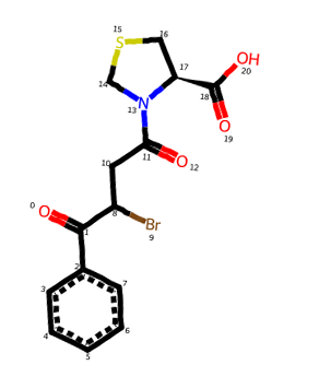 O=C(c1ccccc1)C(Br)CC(=O)N1CSC[C@H]1C(=O)O